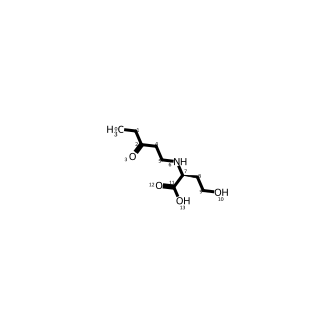 CCC(=O)CCN[C@@H](CCO)C(=O)O